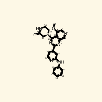 COc1cncc2nc(-c3ccnc(Nc4ccccc4)c3)nc(N3CCNC(=O)C3)c12